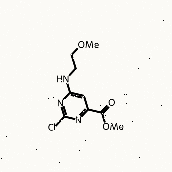 COCCNc1cc(C(=O)OC)nc(Cl)n1